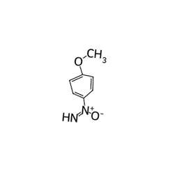 COc1ccc([N+](=N)[O-])cc1